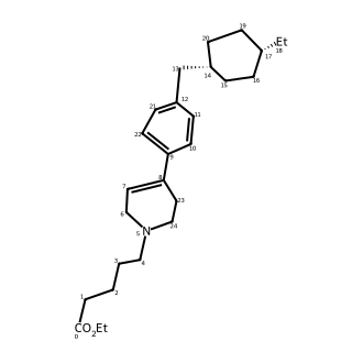 CCOC(=O)CCCCN1CC=C(c2ccc(C[C@H]3CC[C@@H](CC)CC3)cc2)CC1